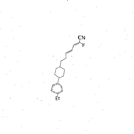 CCc1ccc(C2CCC(CCC=CC=C(F)C#N)CC2)cc1